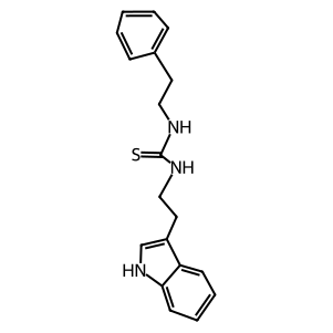 S=C(NCCc1ccccc1)NCCc1c[nH]c2ccccc12